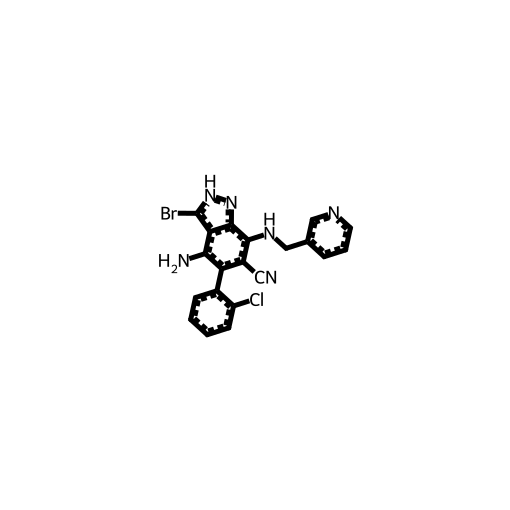 N#Cc1c(-c2ccccc2Cl)c(N)c2c(Br)[nH]nc2c1NCc1cccnc1